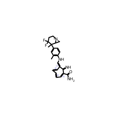 Cc1cc(C2(C)C3C[N@]3CCC2(F)F)ccc1N/C=C1/C=C/C=C/C=C(/C(N)=O)C1=N